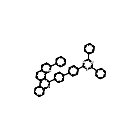 c1ccc(-c2ccc3ccc4c5ccccc5nc(-c5ccc(-c6ccc(-c7nc(-c8ccccc8)nc(-c8ccccc8)n7)cc6)cc5)c4c3n2)cc1